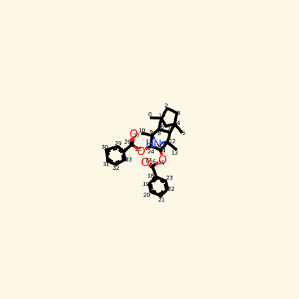 CC12CCC(C)(C1)C1C2C2(C)NC1(C)C(OC(=O)c1ccccc1)C2OC(=O)c1ccccc1